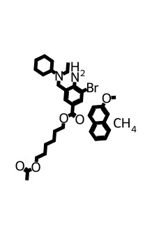 C.CCN(Cc1cc(C(=O)OCCCCCCOC(C)=O)cc(Br)c1N)C1CCCCC1.COc1ccc2ccccc2c1